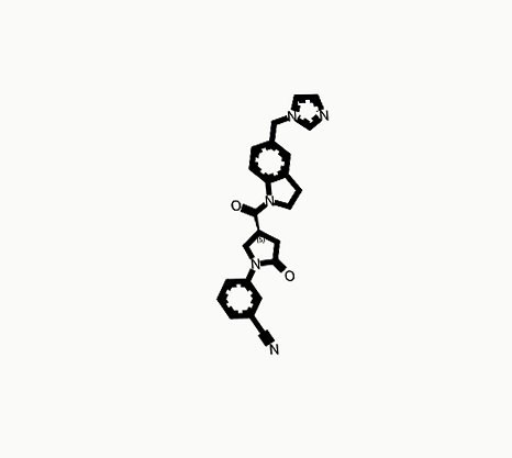 N#Cc1cccc(N2C[C@@H](C(=O)N3CCc4cc(Cn5ccnc5)ccc43)CC2=O)c1